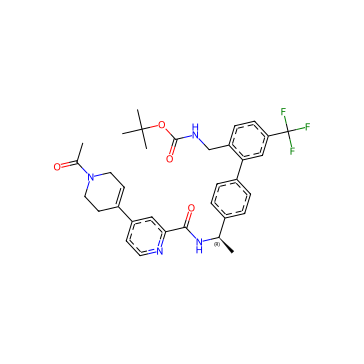 CC(=O)N1CC=C(c2ccnc(C(=O)N[C@H](C)c3ccc(-c4cc(C(F)(F)F)ccc4CNC(=O)OC(C)(C)C)cc3)c2)CC1